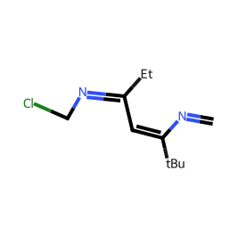 C=N/C(=C\C(CC)=N/CCl)C(C)(C)C